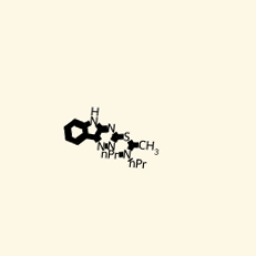 CCCN(CCC)C(C)Sc1nnc2c(n1)[nH]c1ccccc12